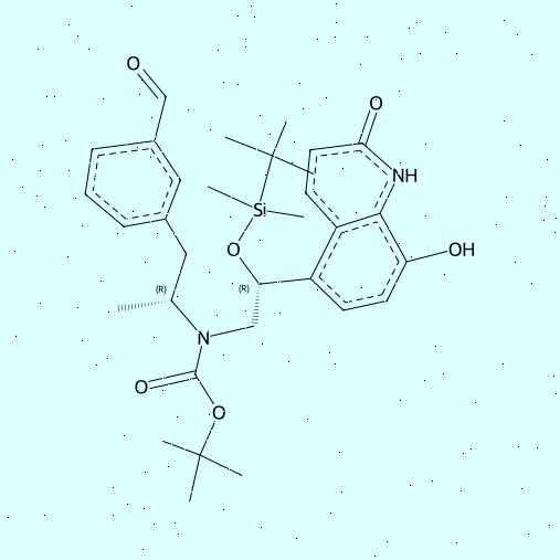 C[C@H](Cc1cccc(C=O)c1)N(C[C@H](O[Si](C)(C)C(C)(C)C)c1ccc(O)c2[nH]c(=O)ccc12)C(=O)OC(C)(C)C